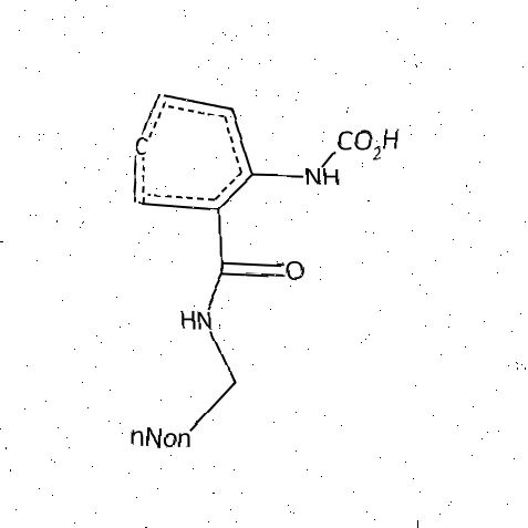 CCCCCCCCCCNC(=O)c1ccccc1NC(=O)O